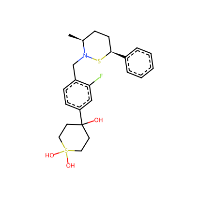 C[C@H]1CC[C@@H](c2ccccc2)SN1Cc1ccc(C2(O)CCS(O)(O)CC2)cc1F